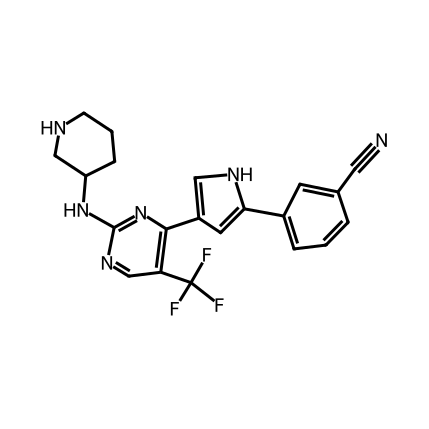 N#Cc1cccc(-c2cc(-c3nc(NC4CCCNC4)ncc3C(F)(F)F)c[nH]2)c1